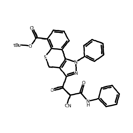 CC(C)(C)OC(=O)c1cccc2c1SCc1c(C(=O)C(C#N)C(=O)Nc3ccccc3)nn(-c3ccccc3)c1-2